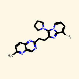 Cc1ccc2nc(CCc3nc4c(C)cccn4c3N3CCCC3)ncc2n1